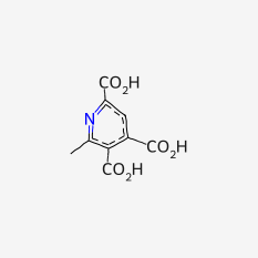 Cc1nc(C(=O)O)cc(C(=O)O)c1C(=O)O